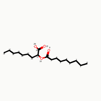 CCCCCCCCC(=O)OC(CCCCCCC)C([O])=O